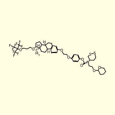 C[C@]12CC[C@@H]3c4ccc(OCCOc5ccc(OC(=O)N(CCOC6CCCCO6)C6CCSSC6)cc5)cc4CC[C@H]3[C@@H]1CC[C@@H]2OCCCOC(C(F)(F)F)(C(F)(F)F)C(F)(F)F